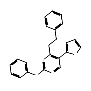 c1ccc(CCc2nc(Nc3ccccc3)ncc2-c2ccco2)cc1